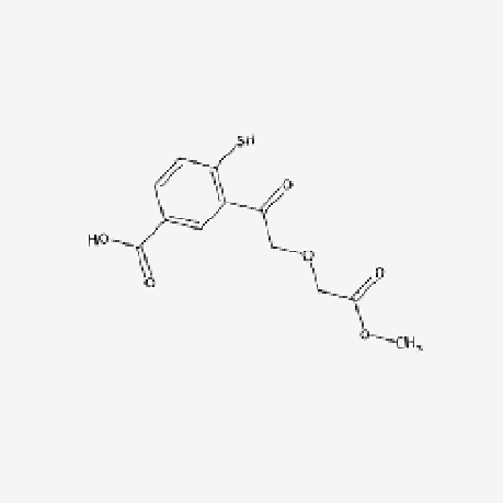 COC(=O)COCC(=O)c1cc(C(=O)O)ccc1S